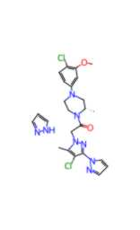 COc1cc(N2CCN(C(=O)Cn3nc(-n4cccn4)c(Cl)c3C)[C@@H](C)C2)ccc1Cl.c1cn[nH]c1